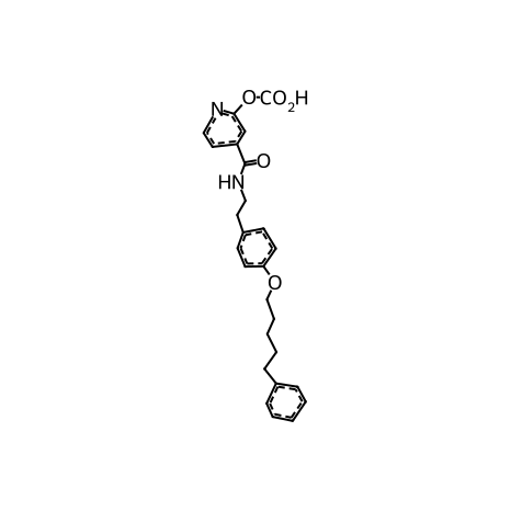 O=C(O)Oc1cc(C(=O)NCCc2ccc(OCCCCCc3ccccc3)cc2)ccn1